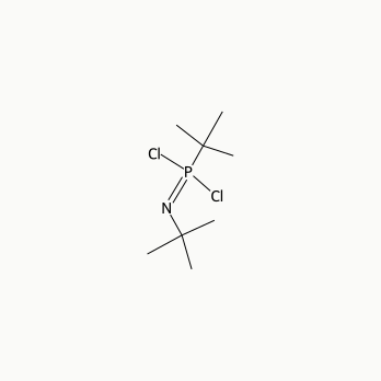 CC(C)(C)N=P(Cl)(Cl)C(C)(C)C